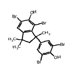 CC1(C)CC(C)(c2cc(Br)c(O)c(Br)c2)c2c1cc(Br)c(O)c2Br